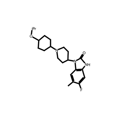 Cc1cc2c(cc1F)[nH]c(=O)n2C1CCN(C2CCC(OC(C)C)CC2)CC1